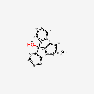 OC(c1ccccc1)(c1ccccc1)c1ccccc1.[Sn]